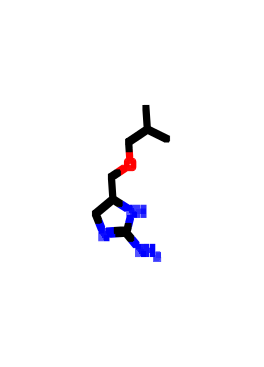 CC(C)COCC1CN=C(N)N1